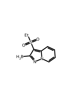 Bc1nn2ccccc2c1S(=O)(=O)CC